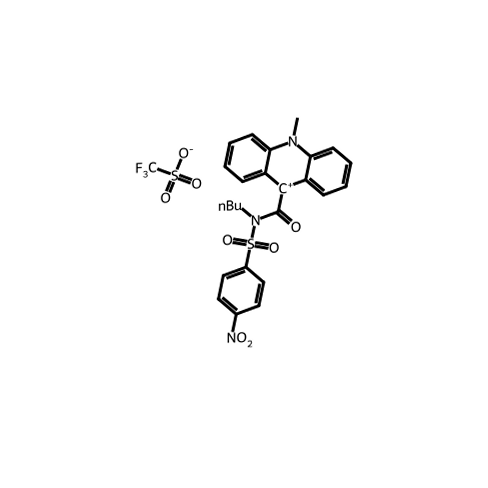 CCCCN(C(=O)[c+]1c2ccccc2n(C)c2ccccc21)S(=O)(=O)c1ccc([N+](=O)[O-])cc1.O=S(=O)([O-])C(F)(F)F